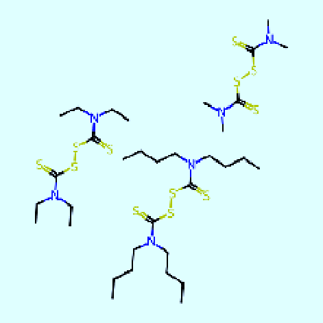 CCCCN(CCCC)C(=S)SSC(=S)N(CCCC)CCCC.CCN(CC)C(=S)SSC(=S)N(CC)CC.CN(C)C(=S)SSC(=S)N(C)C